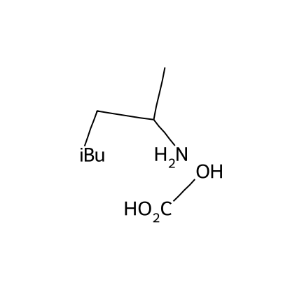 CCC(C)CC(C)N.O=C(O)O